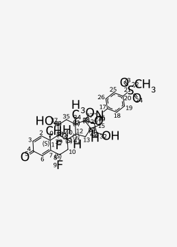 C[C@]12C=CC(=O)C=C1[C@@H](F)C[C@H]1[C@@H]3C[C@H]4CN(c5ccc(S(C)(=O)=O)cc5)O[C@@]4(C(=O)CO)[C@@]3(C)C[C@H](O)[C@@]12F